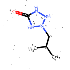 CC(C)CN1NNC(=O)N1